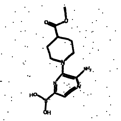 COC(=O)C1CCN(c2nc(B(O)O)cnc2N)CC1